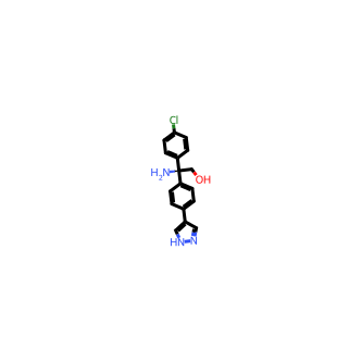 N[C@](CO)(c1ccc(Cl)cc1)c1ccc(-c2cn[nH]c2)cc1